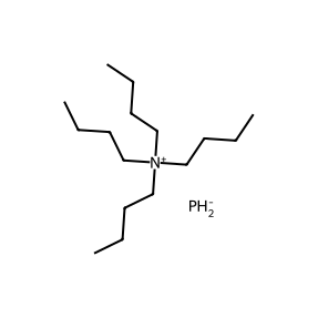 CCCC[N+](CCCC)(CCCC)CCCC.[PH2-]